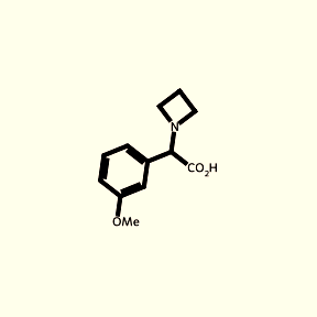 COc1cccc(C(C(=O)O)N2CCC2)c1